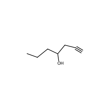 C#CCC(O)CCC